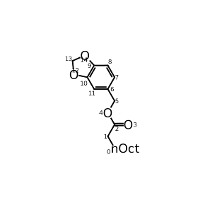 CCCCCCCCCC(=O)OCc1ccc2c(c1)OCO2